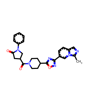 Cc1ncc2ccc(-c3noc(C4CCN(C(=O)C5CC(=O)N(c6ccccc6)C5)CC4)n3)cn12